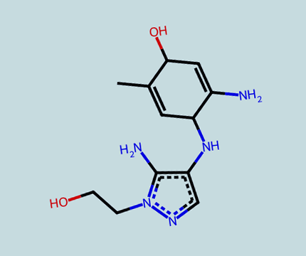 CC1=CC(Nc2cnn(CCO)c2N)C(N)=CC1O